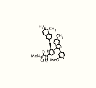 C=C1C=Cc2cc(C#Cc3nc(NC(=O)[C@H](C)NC)ccc3-c3c(-c4ccnc(OC)c4)nc4cc(C)ccn34)ccc2N1C